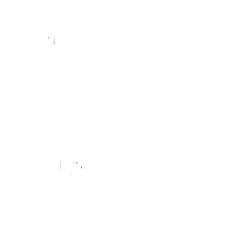 NCc1cccc(-c2c(N)cccc2O)c1